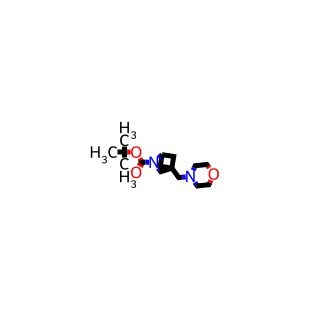 CC(C)(C)OC(=O)N1CC2(CN3CCOCC3)CC1C2